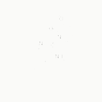 NC(=O)c1cc(-c2ccccc2)ccc1N1CCC(Oc2ncccc2Cl)C1